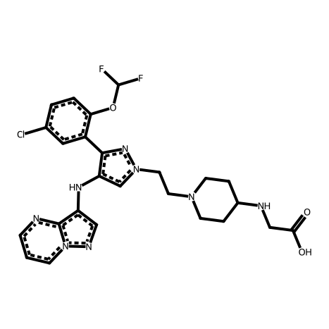 O=C(O)CNC1CCN(CCn2cc(Nc3cnn4cccnc34)c(-c3cc(Cl)ccc3OC(F)F)n2)CC1